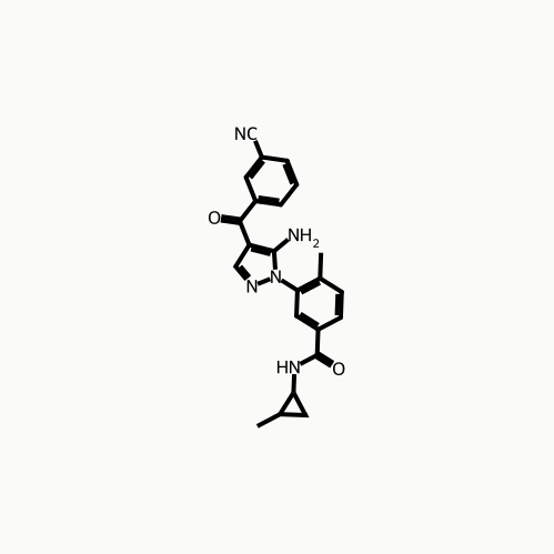 Cc1ccc(C(=O)NC2CC2C)cc1-n1ncc(C(=O)c2cccc(C#N)c2)c1N